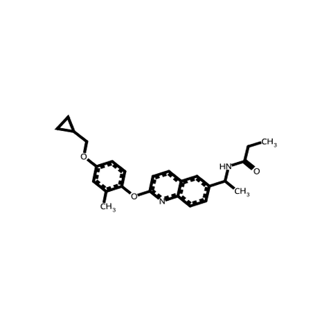 CCC(=O)NC(C)c1ccc2nc(Oc3ccc(OCC4CC4)cc3C)ccc2c1